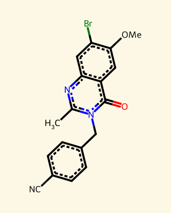 COc1cc2c(=O)n(Cc3ccc(C#N)cc3)c(C)nc2cc1Br